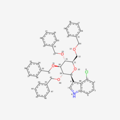 Clc1cccc2[nH]cc([C@@H]3O[C@H](COCc4ccccc4)[C@@H](OCc4ccccc4)[C@H](OCc4ccccc4)[C@H]3OCc3ccccc3)c12